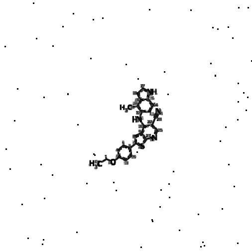 CCOc1ccc(-c2cc3c(Nc4ccc5[nH]ccc5c4C)c(C#N)cnc3s2)cc1